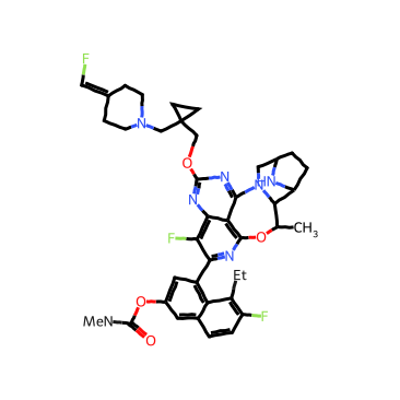 CCc1c(F)ccc2cc(OC(=O)NC)cc(-c3nc4c5c(nc(OCC6(CN7CCC(=CF)CC7)CC6)nc5c3F)N3CC5CCC(N5)C3C(C)O4)c12